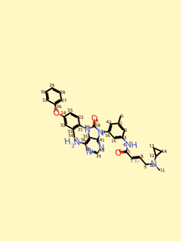 Cc1cc(NC(=O)/C=C/CN(C)C2CC2)cc(-n2c(=O)n(-c3ccc(Oc4ccccc4)cc3C)c3c(N)ncnc32)c1